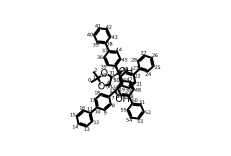 CC1(C)O[C@@H](C(O)(c2ccc(-c3ccccc3)cc2)c2ccc(-c3ccccc3)cc2)[C@H](C(O)(c2ccc(-c3ccccc3)cc2)c2ccc(-c3ccccc3)cc2)O1